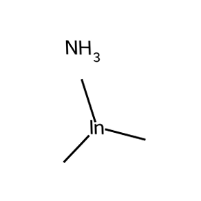 N.[CH3][In]([CH3])[CH3]